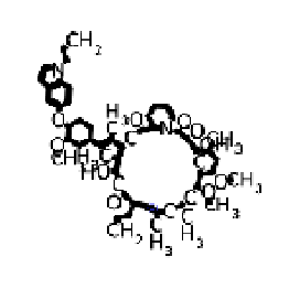 C=CCC1/C=C(\C)CC(C)CC(OC)C2CC(O)(C(=O)C(=O)N3CCCCC3C(=O)CC(C(C)=CC3CCC(Oc4ccc5c(ccn5CC=C)c4)C(OC)C3)C(C)C(O)CC1=O)C(C)CC2OC